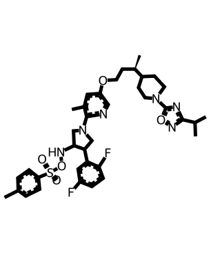 Cc1ccc(S(=O)(=O)ONC2CN(c3ncc(OCC[C@@H](C)C4CCN(c5nc(C(C)C)no5)CC4)cc3C)CC2c2cc(F)ccc2F)cc1